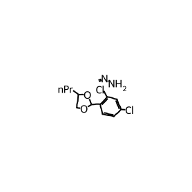 C=NN.CCCC1COC(c2ccc(Cl)cc2Cl)O1